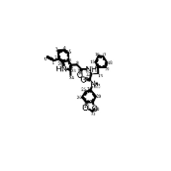 C=Cc1cccc2c(CC(=O)N[C@@H](Cc3ccccc3)C(=O)N(C)c3ccc4c(c3)OCO4)c(C)[nH]c12